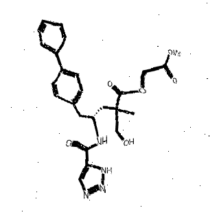 COC(=O)COC(=O)C(C)(CO)C[C@@H](Cc1ccc(-c2ccccc2)cc1)NC(=O)c1cnn[nH]1